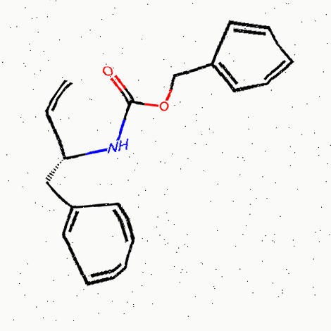 C=C[C@@H](Cc1ccccc1)NC(=O)OCc1ccccc1